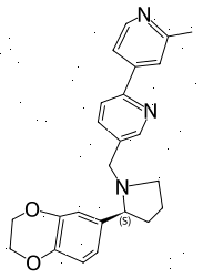 Cc1cc(-c2ccc(CN3CCC[C@H]3c3ccc4c(c3)OCCO4)cn2)ccn1